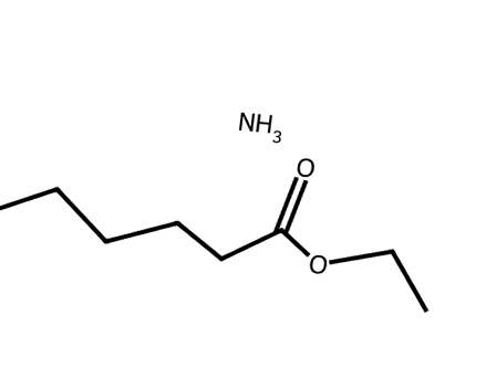 CCCCCC(=O)OCC.N